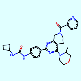 CC1COCCN1c1nc(-c2ccc(NC(=O)NC3CCC3)cc2)nc2c1CCN(C(=O)c1cccnc1)C2